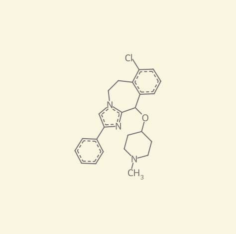 CN1CCC(OC2c3cccc(Cl)c3CCn3cc(-c4ccccc4)nc32)CC1